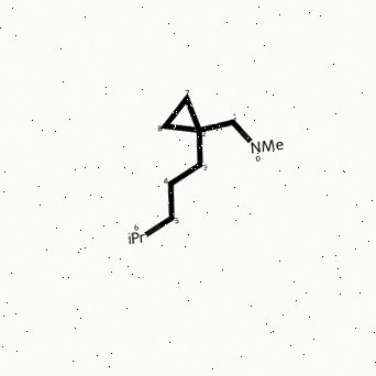 CNCC1(CCCC(C)C)CC1